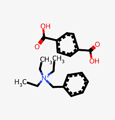 CC[N+](CC)(CC)Cc1ccccc1.O=C(O)c1ccc(C(=O)O)cc1